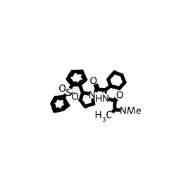 CNC(C)C(=O)N[C@H](C(=O)N1CCCC1c1ccccc1S(=O)(=O)c1ccccc1)C1CCCCC1